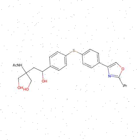 CC(=O)NC(CO)(CO)CC(O)c1ccc(Sc2ccc(-c3coc(C(C)C)n3)cc2)cc1